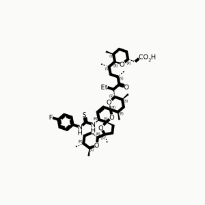 CCC(C(=O)[C@@H](C)C[C@H](C)[C@@H]1O[C@@H](CC(=O)O)CC[C@@H]1C)[C@H]1O[C@]2(C=C[C@@H](NC(=S)Nc3ccc(F)cc3)[C@]3(CC[C@@](C)([C@H]4CC[C@@H](C)[C@H](C)O4)O3)O2)[C@H](C)C[C@@H]1C